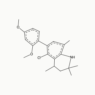 COc1ccc(-c2cc(C)c3c(c2Cl)C(C)CC(C)(C)N3)c(OC)c1